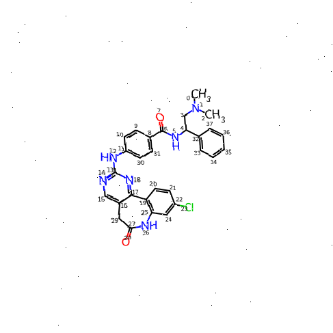 CN(C)CC(NC(=O)c1ccc(Nc2ncc3c(n2)-c2ccc(Cl)cc2NC(=O)C3)cc1)c1ccccc1